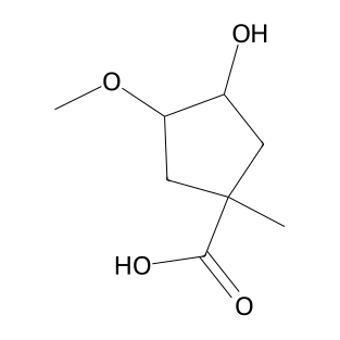 COC1CC(C)(C(=O)O)CC1O